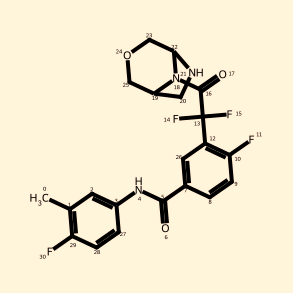 Cc1cc(NC(=O)c2ccc(F)c(C(F)(F)C(=O)N3C4CNC3COC4)c2)ccc1F